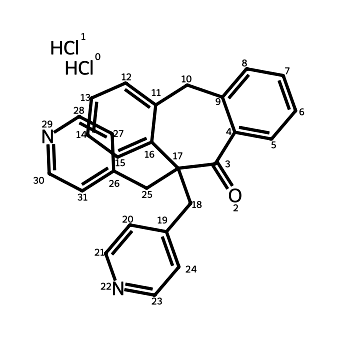 Cl.Cl.O=C1c2ccccc2Cc2ccccc2C1(Cc1ccncc1)Cc1ccncc1